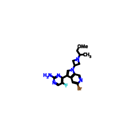 COCC(C)N1CC(n2cc(-c3nc(N)ncc3F)c3cc(Br)ncc32)C1